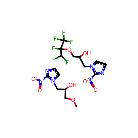 COCC(O)Cn1ccnc1[N+](=O)[O-].O=[N+]([O-])c1nccn1CC(O)COC(F)(C(F)F)C(F)(F)F